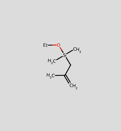 C=C(C)C[Si](C)(C)OCC